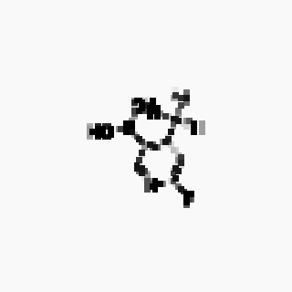 [2H]C([2H])([2H])c1cc(F)ncc1B(O)O